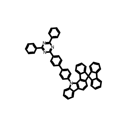 c1ccc(-c2nc(-c3ccccc3)nc(-c3ccc(-c4ccc(-n5c6ccccc6c6ccc7c(c65)-c5ccccc5C75c6ccccc6-c6ccccc65)cc4)cc3)n2)cc1